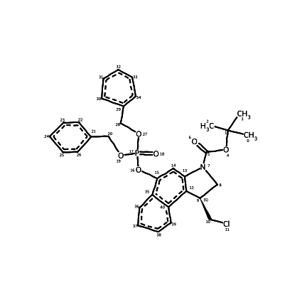 CC(C)(C)OC(=O)N1C[C@@H](CCl)c2c1cc(OP(=O)(OCc1ccccc1)OCc1ccccc1)c1ccccc21